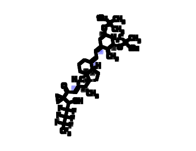 C=C1/C(=C\C=C2/CCC[C@]3(C)[C@@H]([C@H](C)/C=C/C(=O)C4(C(O)C(F)(F)C(F)(F)C(F)(F)C(F)(F)F)CC4)CC[C@@H]23)C[C@@H](O[Si](C)(C)C(C)(C)C)C[C@@H]1O[Si](C)(C)C(C)(C)C